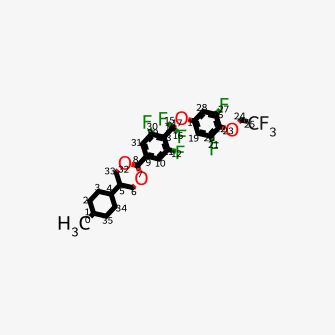 CC1CCC(C2COC(c3cc(F)c(C(F)(F)Oc4cc(F)c(OCC(F)(F)F)c(F)c4)c(F)c3)OC2)CC1